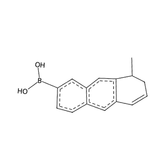 CC1CC=Cc2cc3ccc(B(O)O)cc3cc21